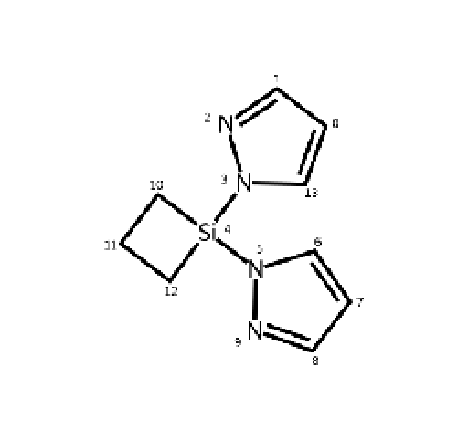 c1cnn([Si]2(n3cccn3)CCC2)c1